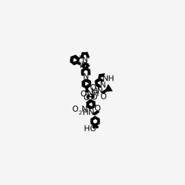 CC(C)c1ccccc1[C@H]1CCCN1C1CC2(CCN(c3ccc(C(=O)NS(=O)(=O)c4cc5c(c([N+](=O)[O-])c4)N[C@@H](C4CCC(C)(O)CC4)CO5)c(Oc4cc5cc[nH]c5nc4NC(=O)C4CC4)c3)CC2)C1